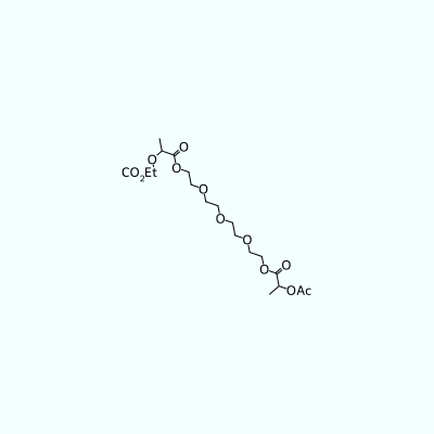 CCOC(=O)OC(C)C(=O)OCCOCCOCCOCCOC(=O)C(C)OC(C)=O